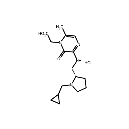 Cc1cnc(NC[C@@H]2CCCN2CC2CC2)c(=O)n1CC(=O)O.Cl